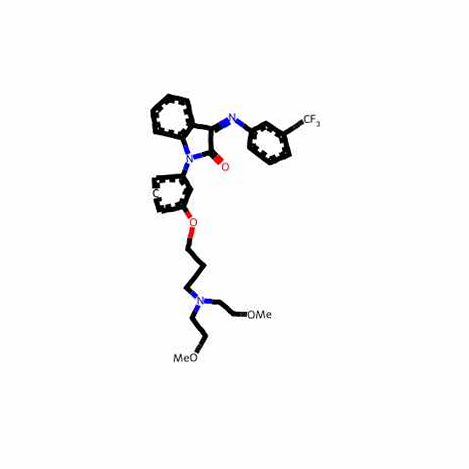 COCCN(CCCOc1cccc(N2C(=O)C(=Nc3cccc(C(F)(F)F)c3)c3ccccc32)c1)CCOC